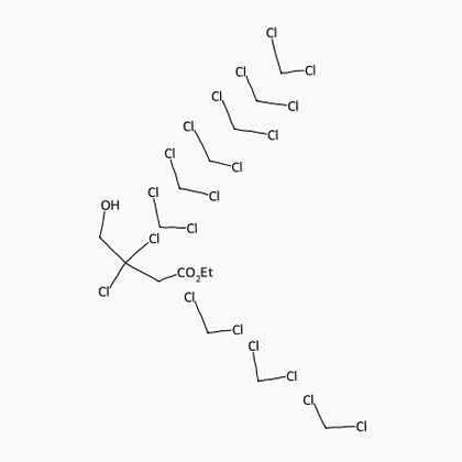 CCOC(=O)CC(Cl)(Cl)CO.ClCCl.ClCCl.ClCCl.ClCCl.ClCCl.ClCCl.ClCCl.ClCCl.ClCCl